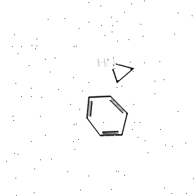 C1CN1.c1ccccc1